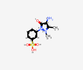 Cc1c(N)c(=O)n(-c2cccc(S(=O)(=O)O)c2)n1C